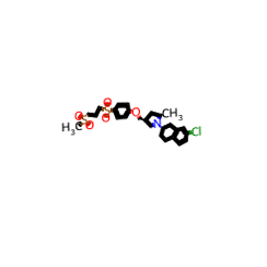 C[C@@H]1C[C@H](COc2ccc(S(=O)(=O)CCCS(C)(=O)=O)cc2)CN1[C@H]1CCc2ccc(Cl)cc2C1